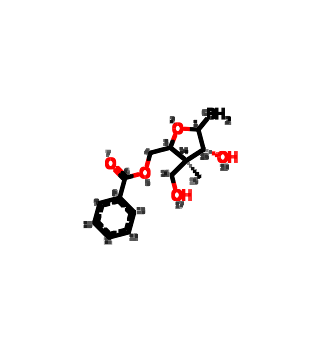 BC1OC(COC(=O)c2ccccc2)[C@](C)(CO)[C@H]1O